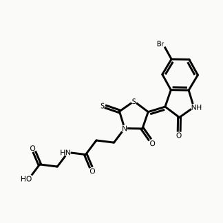 O=C(O)CNC(=O)CCN1C(=O)C(=C2C(=O)Nc3ccc(Br)cc32)SC1=S